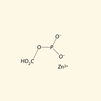 O=C(O)OP([O-])[O-].[Zn+2]